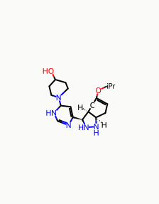 CC(C)OC1=CC[C@H]2NN[C@@H](C3=CC(N4CCC(O)CC4)NC=N3)[C@H]2C1